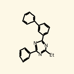 CCc1nc(-c2ccccc2)nc(-c2cccc(-c3ccccc3)c2)n1